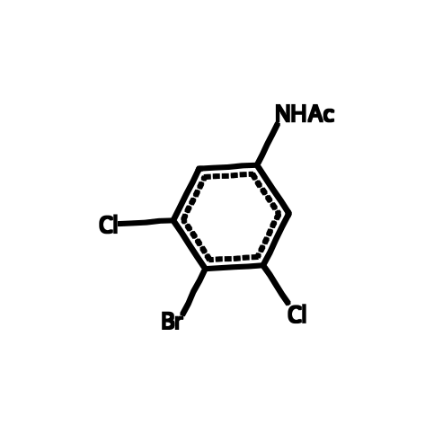 CC(=O)Nc1cc(Cl)c(Br)c(Cl)c1